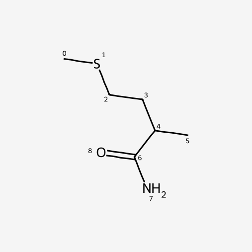 CSCCC(C)C(N)=O